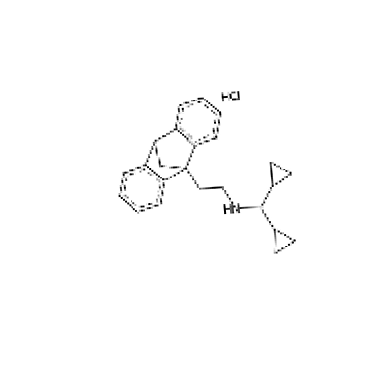 Cl.c1ccc2c(c1)C1CC2(CCNC(C2CC2)C2CC2)c2ccccc21